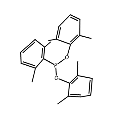 Cc1cccc(C)c1OP(Oc1c(C)cccc1C)c1c(C)cccc1C